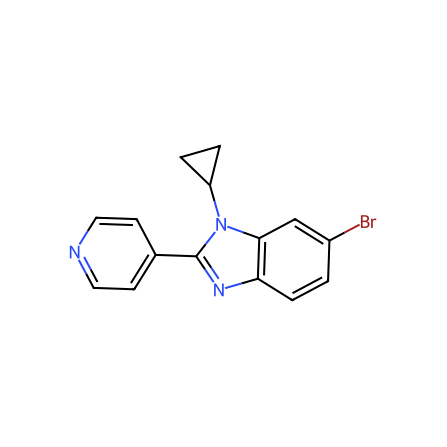 Brc1ccc2nc(-c3ccncc3)n(C3CC3)c2c1